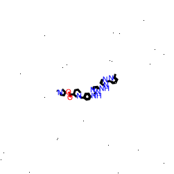 Cc1cccc(-c2nccc(Nc3ccnc(Nc4ccc(CN5CCCC(C(=O)OC6CCN(C)C6)C5)cc4)n3)n2)n1